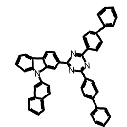 c1ccc(-c2ccc(-c3nc(-c4ccc(-c5ccccc5)cc4)nc(-c4ccc5c6ccccc6n(-c6ccc7ccccc7c6)c5c4)n3)cc2)cc1